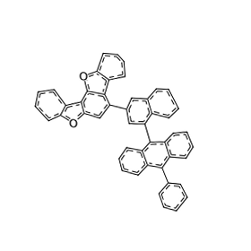 c1ccc(-c2c3ccccc3c(-c3cc(-c4cc5oc6ccccc6c5c5oc6ccccc6c45)cc4ccccc34)c3ccccc23)cc1